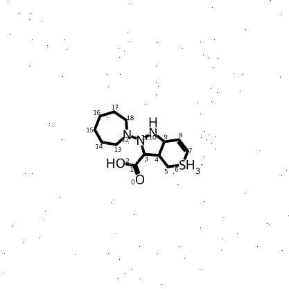 O=C(O)C1C2C[SH3]C=CC2NN1N1CCCCCC1